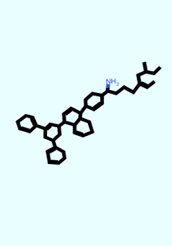 C/C=C(/CCCC(N)C1C=CC(C2C=CC(C3C=C(C4=CCCC=C4)CC(C4=CC=CCC4)C3)C3C=CCCC23)CC1)CC(C)CC